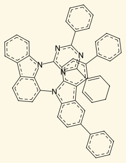 C1=CC(c2nc(-c3ccccc3)nc(-n3c4ccccc4c4cccc(-n5c6ccc(-c7ccccc7)cc6c6cc(-c7ccccc7)ccc65)c43)n2)=CCC1